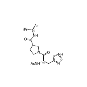 CC(=O)N[C@@H](Cc1c[nH]cn1)C(=O)N1CCC(C(=O)N[C@H](C(C)=O)C(C)C)C1